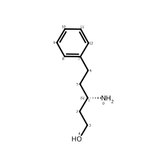 N[C@H](CCO)CCc1ccccc1